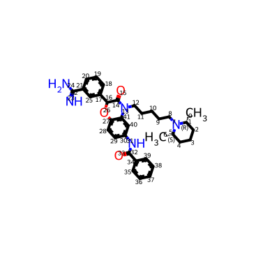 C[C@@H]1CCC[C@H](C)N1CCCCCN1C(=O)C(c2cccc(C(=N)N)c2)Oc2ccc(NC(=O)c3ccccc3)cc21